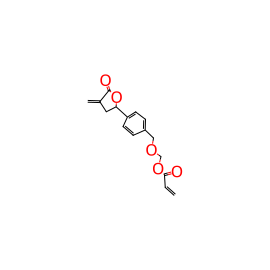 C=CC(=O)OCOCc1ccc(C2CC(=C)C(=O)O2)cc1